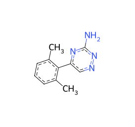 Cc1cccc(C)c1-c1cnnc(N)n1